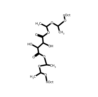 CCCCCCCCOC(C)OC(C)OC(=O)C(O)C(O)C(=O)OC(C)OC(C)OCCCCCCCC